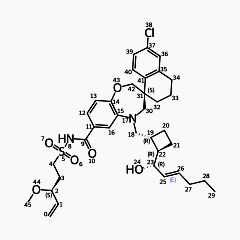 C=C[C@H](CCS(=O)(=O)NC(=O)c1ccc2c(c1)N(C[C@@H]1CC[C@H]1[C@@H](O)/C=C/CCC)C[C@@]1(CCCc3cc(Cl)ccc31)CO2)OC